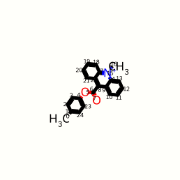 Cc1ccc(OC(=O)c2c3ccccc3[n+](C)c3ccccc23)cc1